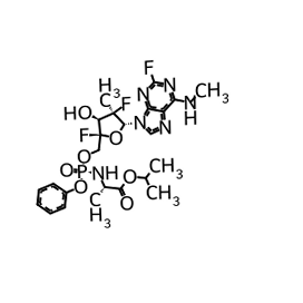 CNc1nc(F)nc2c1ncn2[C@@H]1O[C@](F)(CO[P@@](=O)(N[C@@H](C)C(=O)OC(C)C)Oc2ccccc2)[C@@H](O)[C@@]1(C)F